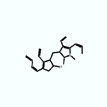 C=C/C=C\C1=C(C=C)C(CC2C(C=C)=C(/C=C\C)N(C)C2C)C(CC)C1